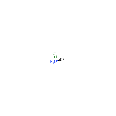 [Cl-].[Cl-].[NH2][Zr+2]